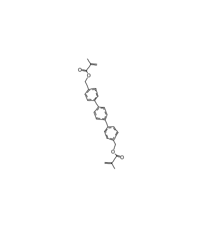 C=C(C)C(=O)OCc1ccc(-c2ccc(-c3ccc(COC(=O)C(=C)C)cc3)cc2)cc1